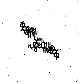 Cc1c(C)c(S(=O)(=O)NC(=N)NCCC[C@H](NC(=O)[C@@H](N)CCCNC(=N)NS(=O)(=O)c2c(C)c(C)c3c(c2C)CC(C)(C)O3)C(N)=O)c(C)c2c1OC(C)(C)C2